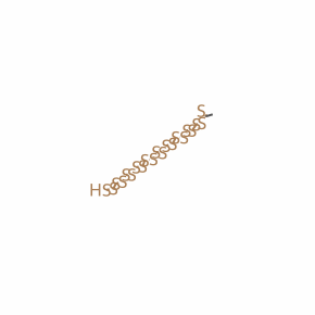 CC(=S)SSSSSSSSSSSSSSSSSSSS